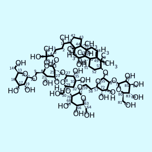 C[C@H](CC[C@@H](O[C@@H]1O[C@H](CO[C@@H]2O[C@H](CO)C[C@H](O)[C@H]2O)[C@@H](O)[C@H](O)[C@H]1O[C@@H]1O[C@H](CO)C[C@H](O)[C@H]1O)C(C)(C)O)[C@H]1CC[C@@]2(C)[C@@H]3CC=C4[C@@H](CC[C@H](O[C@@H]5O[C@H](CCO[C@@H]6O[C@H](CO)[C@@H](O)[C@H](O)[C@H]6O)[C@@H](O)[C@H](O)[C@H]5O[C@@H]5O[C@H](CO)[C@@H](O)[C@H](O)[C@H]5O)C4(C)C)[C@]3(C)[C@@H](O)C[C@]12C